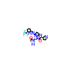 CC(=O)NCCn1c(=O)c(-c2cccnc2)nc2ccc(NCc3cccc(C(F)(F)F)c3)nc21